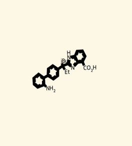 CCC(C)C(CC)(c1ccc(-c2ccccc2N)cc1)c1nc2c(C(=O)O)cccc2[nH]1